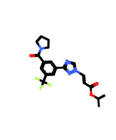 CC(C)OC(=O)C=Cn1cnc(-c2cc(C(=O)N3CCCC3)cc(C(F)(F)F)c2)n1